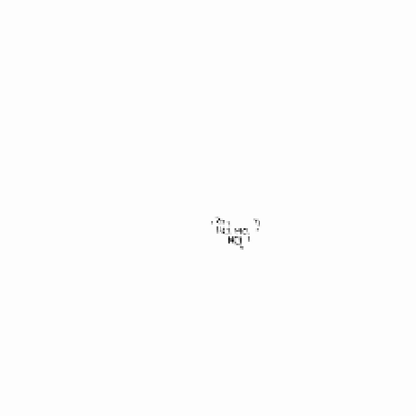 Cl.Cl.Cl.[Ti].[Zn]